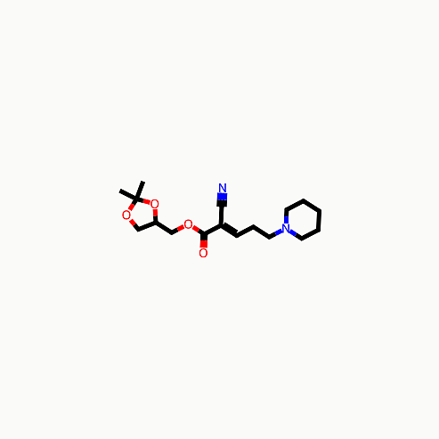 CC1(C)OCC(COC(=O)/C(C#N)=C/CCN2CCCCC2)O1